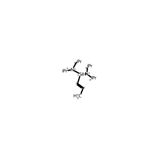 CC=C[SiH](N(C(C)C)C(C)C)N(C(C)C)C(C)C